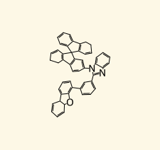 C1=CC2Oc3c(-c4cccc(-c5nc6ccccc6n5-c5ccc6c(c5)C5(C7=C(CCC=C7)c7ccccc75)C5=C6CCC=C5)c4)cccc3C2C=C1